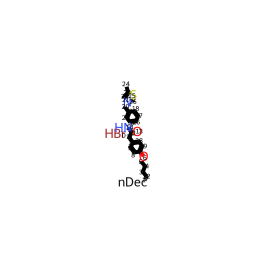 Br.CCCCCCCCCCCCCCOc1ccc(CC(=O)Nc2cccc(CN3C=C(C)SC3)c2)cc1